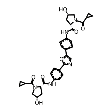 O=C(Nc1ccc(-c2cnc(-c3ccc(NC(=O)[C@@H]4C[C@@H](O)CN4C(=O)C4CC4)cc3)o2)cc1)[C@@H]1C[C@@H](O)CN1C(=O)C1CC1